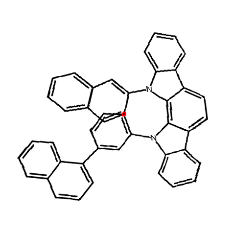 c1cc(-c2cccc3ccccc23)cc(-n2c3ccccc3c3ccc4c5ccccc5n(-c5ccc6ccccc6c5)c4c32)c1